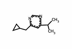 CC(C)c1cc(CC2CC2)ncn1